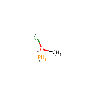 COCl.P